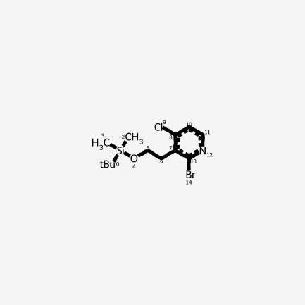 CC(C)(C)[Si](C)(C)OCCc1c(Cl)ccnc1Br